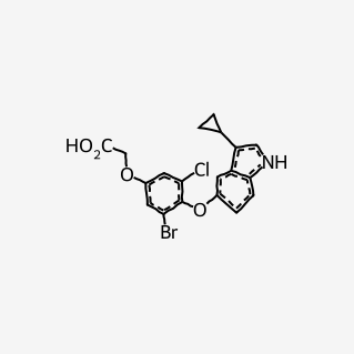 O=C(O)COc1cc(Cl)c(Oc2ccc3[nH]cc(C4CC4)c3c2)c(Br)c1